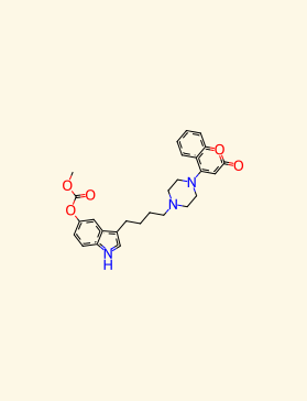 COC(=O)Oc1ccc2[nH]cc(CCCCN3CCN(c4cc(=O)oc5ccccc45)CC3)c2c1